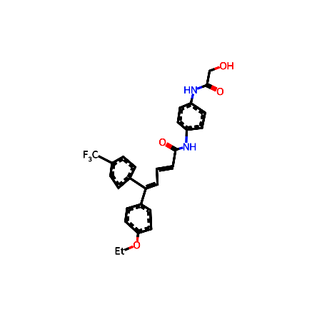 CCOc1ccc(/C(=C/C=C/C(=O)Nc2ccc(NC(=O)CO)cc2)c2ccc(C(F)(F)F)cc2)cc1